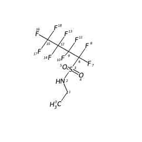 C[CH]NS(=O)(=O)C(F)(F)C(F)(F)C(F)(F)C(F)(F)F